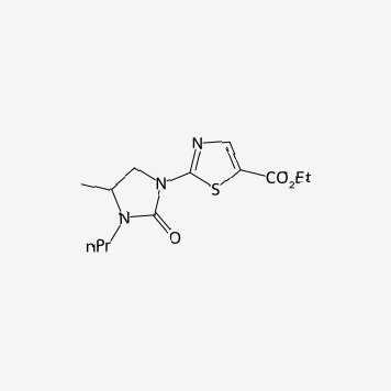 CCCN1C(=O)N(c2ncc(C(=O)OCC)s2)CC1C